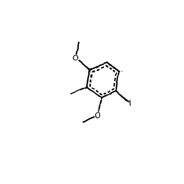 COc1c[c]c(I)c(OC)c1C